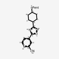 CCCCCC1CCC(c2noc(-c3ccnc(C#N)c3)n2)CC1